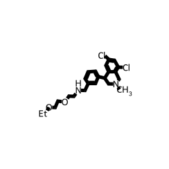 CCOCCOCCNCc1cccc(C2CN(C)Cc3c(Cl)cc(Cl)cc32)c1